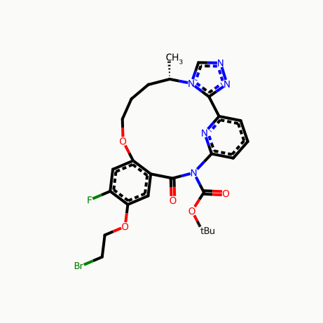 C[C@H]1CCCOc2cc(F)c(OCCBr)cc2C(=O)N(C(=O)OC(C)(C)C)c2cccc(n2)-c2nncn21